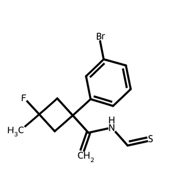 C=C(NC=S)C1(c2cccc(Br)c2)CC(C)(F)C1